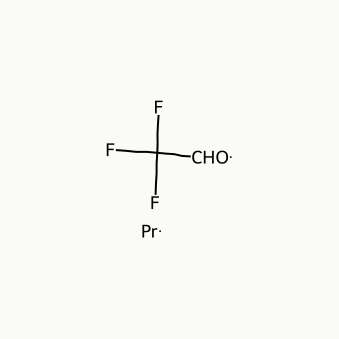 O=[C]C(F)(F)F.[Pr]